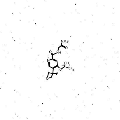 CNC(=O)CNC(=O)c1cc(O[C@@H](C)C(F)(F)F)c(C2(F)COC2)cn1